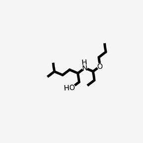 CCCOC(CC)NC(CO)CCC(C)C